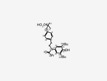 CC(C)C(=O)N(CCc1ccc(OC(C)(C)C(=O)O)cc1)c1cc(C(C)(C)C)c(O)c(C(C)(C)C)c1